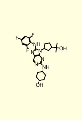 CC(C)(O)C1CCC(n2c(Nc3c(F)cc(F)cc3F)nc3cnc(N[C@H]4CC[C@H](O)CC4)nc32)C1